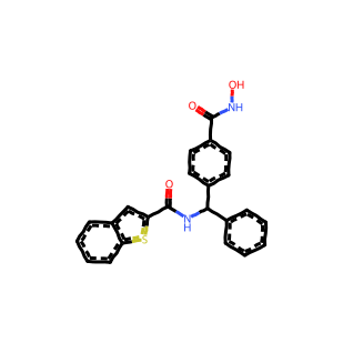 O=C(NO)c1ccc(C(NC(=O)c2cc3ccccc3s2)c2ccccc2)cc1